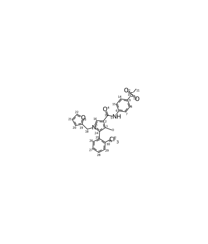 Cc1c(C(=O)Nc2ccc(S(C)(=O)=O)cc2)cn(Cc2ccco2)c1-c1ccccc1C(F)(F)F